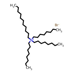 CCCCCCCCCCC[N+](CCCCCCCC)(CCCCCCCC)CCCCCCCC.[Br-]